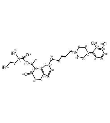 CC(C)CCN(C(=O)OC(C)N1C(=O)CCc2ccc(OCCCCN3CCN(c4cccc(Cl)c4Cl)CC3)cc21)C(C)C